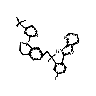 CC(C)(C)c1ccnc(N2CCCc3ccc(CC(C)(C)c4cc(F)ccc4-c4nc5cccnc5[nH]4)cc32)c1